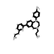 O=NCCN1CCN(c2ccc(C(F)(F)F)cc2)c2ccc(-c3cccc(CCO)n3)cc2C1